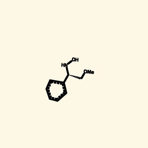 COC[C@@H](NO)c1ccccc1